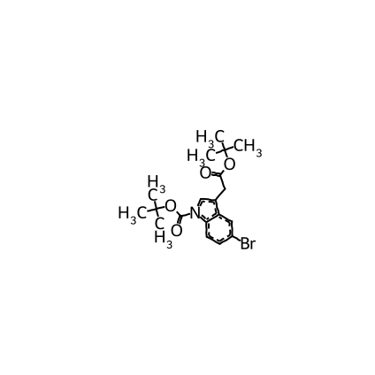 CC(C)(C)OC(=O)Cc1cn(C(=O)OC(C)(C)C)c2ccc(Br)cc12